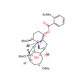 CCN1C[C@]2(OC(=O)c3ccccc3NC(C)=O)CC[C@H](OC)[C@]34C1[C@@H](CC23)[C@@]1(O)C[C@H](OC)C[C@H]2C[C@@H]4[C@]1(O)[C@H]2OC